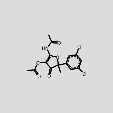 CC(=O)NC1=C(OC(C)=O)C(=O)C(C)(c2cc(Cl)cc(Cl)c2)O1